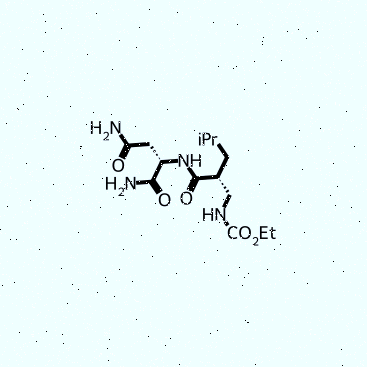 CCOC(=O)NC[C@@H](CC(C)C)C(=O)N[C@@H](CC(N)=O)C(N)=O